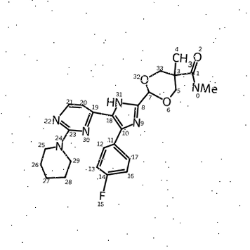 CNC(=O)C1(C)COC(c2nc(-c3ccc(F)cc3)c(-c3ccnc(N4CCCCC4)n3)[nH]2)OC1